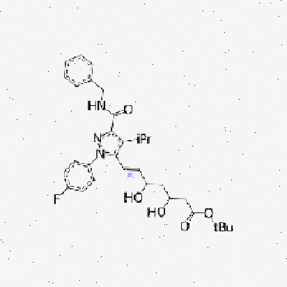 CC(C)c1c(C(=O)NCc2ccccc2)nn(-c2ccc(F)cc2)c1/C=C/C(O)CC(O)CC(=O)OC(C)(C)C